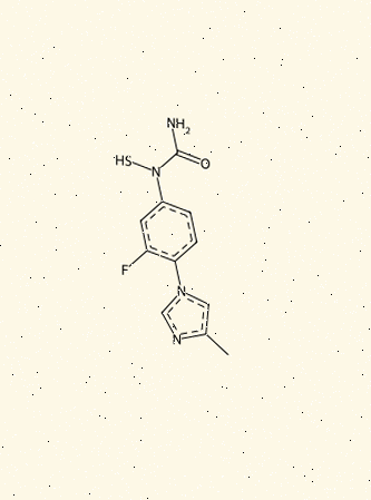 Cc1cn(-c2ccc(N(S)C(N)=O)cc2F)cn1